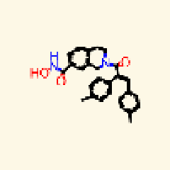 Cc1ccc(C=C(C(=O)N2CCc3ccc(C(=O)NO)cc3C2)c2ccc(C)cc2)cc1